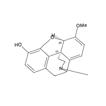 COC1=CC=C2C3Cc4ccc(O)c5c4[C@@]2(CCN3C)[C@H]1O5